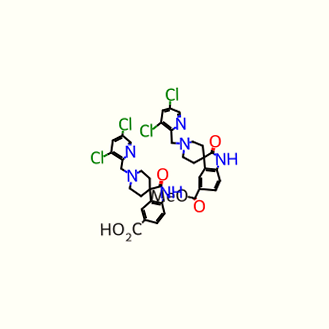 COC(=O)c1ccc2c(c1)C1(CCN(Cc3ncc(Cl)cc3Cl)CC1)C(=O)N2.O=C(O)c1ccc2c(c1)C1(CCN(Cc3ncc(Cl)cc3Cl)CC1)C(=O)N2